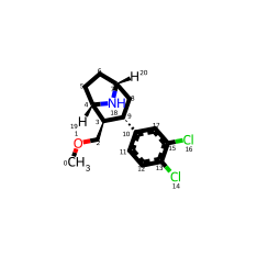 COC[C@H]1[C@@H]2CC[C@H](C[C@@H]1c1ccc(Cl)c(Cl)c1)N2